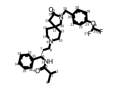 CC(C)C(=O)N[C@@H](CCN1CCC2(CC1)CC(=O)N(Cc1ccc(OC(F)F)cc1)C2)c1ccccc1